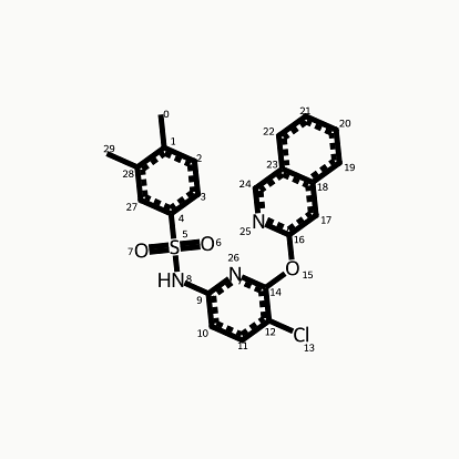 Cc1ccc(S(=O)(=O)Nc2ccc(Cl)c(Oc3cc4ccccc4cn3)n2)cc1C